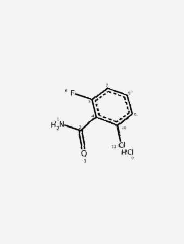 Cl.NC(=O)c1c(F)cccc1Cl